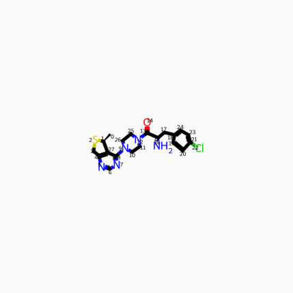 C[C@@H]1SCc2ncnc(N3CCN(C(=O)[C@H](N)Cc4ccc(Cl)cc4)CC3)c21